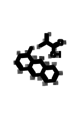 C=C(C)C(=O)O.Cc1cccc2cc3ccccc3cc12